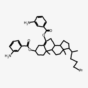 CC(C)CCCC(C)C1CCC2C3CC(OC(=O)c4cccc(N)c4)=C4CC(OC(=O)c5cccc(N)c5)CCC4(C)C3CCC12C